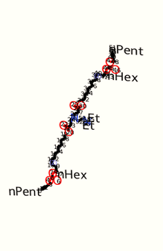 CCCCCC#CCOC(=O)OC(C/C=C\CCCCCCCCOC(=O)CCN(CCC(=O)OCCCCCCCC/C=C\CC(CCCCCC)OC(=O)OCC#CCCCCC)CCN(CC)CC)CCCCCC